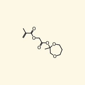 C=C(C)C(=O)OCC(=O)OC1(C)COCCCO1